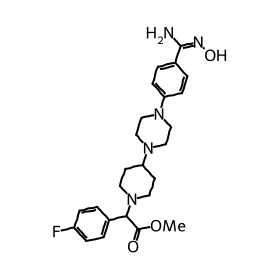 COC(=O)C(c1ccc(F)cc1)N1CCC(N2CCN(c3ccc(/C(N)=N\O)cc3)CC2)CC1